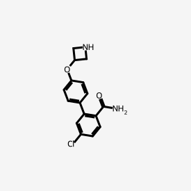 NC(=O)c1ccc(Cl)cc1-c1ccc(OC2CNC2)cc1